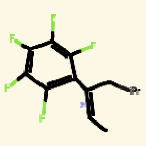 C/C=C(\CC(C)C)c1c(F)c(F)c(F)c(F)c1F